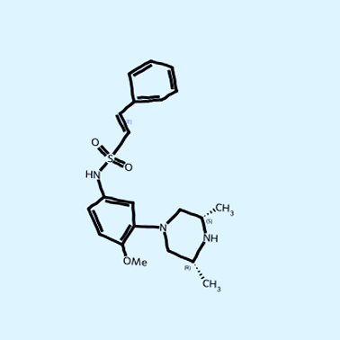 COc1ccc(NS(=O)(=O)/C=C/c2ccccc2)cc1N1C[C@@H](C)N[C@@H](C)C1